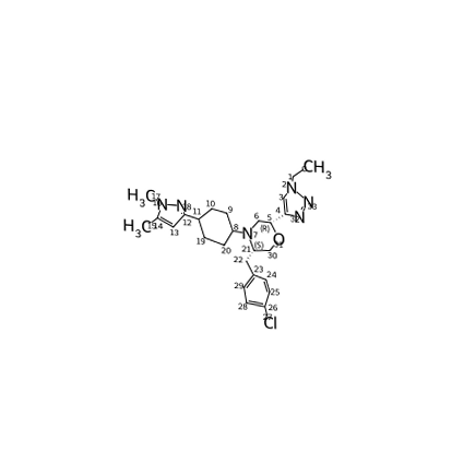 CCn1cc([C@H]2CN(C3CCC(c4cc(C)n(C)n4)CC3)[C@@H](Cc3ccc(Cl)cc3)CO2)nn1